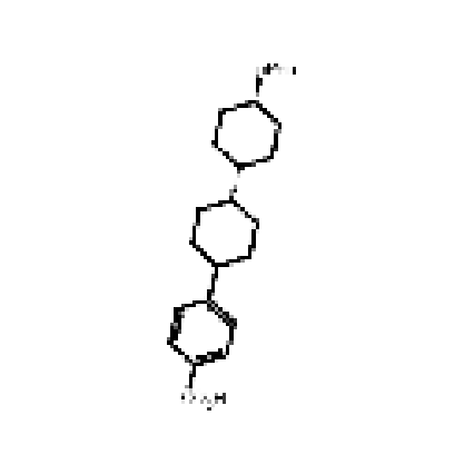 CCCCC[C@H]1CC[C@H](C2CCC(c3ccc(C(=O)O)cc3)CC2)CC1